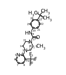 C[C@@H]1CN(c2ncccc2C(F)(F)F)CCN1C(=O)Nc1ccc(C(C)(C)C)cc1